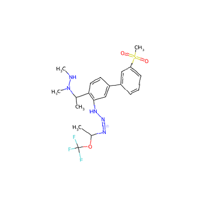 CNN(C)C(C)c1ccc(-c2cccc(S(C)(=O)=O)c2)cc1N/N=N\C(C)OC(F)(F)F